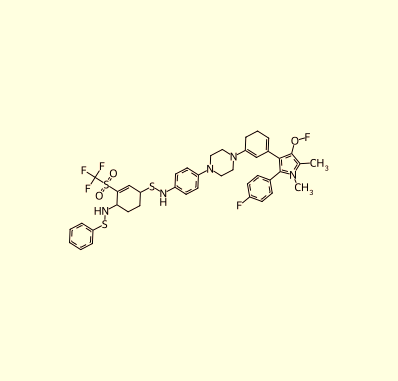 Cc1c(OF)c(C2=CCCC(N3CCN(c4ccc(NSC5C=C(S(=O)(=O)C(F)(F)F)C(NSc6ccccc6)CC5)cc4)CC3)=C2)c(-c2ccc(F)cc2)n1C